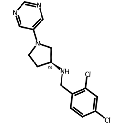 Clc1ccc(CN[C@H]2CCN(c3cncnc3)C2)c(Cl)c1